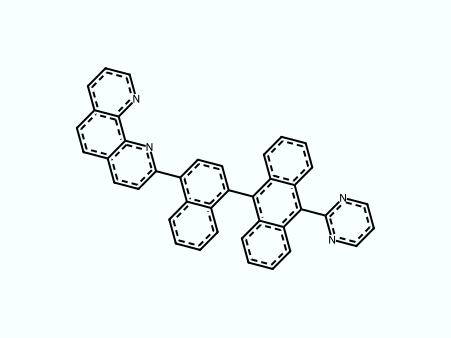 c1cnc(-c2c3ccccc3c(-c3ccc(-c4ccc5ccc6cccnc6c5n4)c4ccccc34)c3ccccc23)nc1